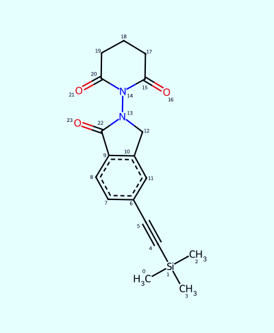 C[Si](C)(C)C#Cc1ccc2c(c1)CN(N1C(=O)CCCC1=O)C2=O